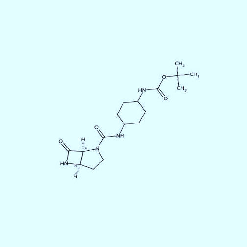 CC(C)(C)OC(=O)NC1CCC(NC(=O)N2CC[C@H]3NC(=O)[C@H]32)CC1